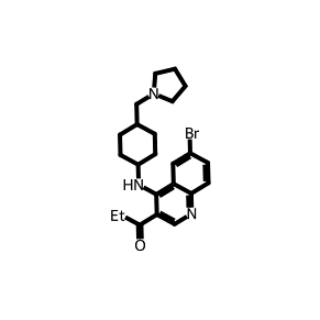 CCC(=O)c1cnc2ccc(Br)cc2c1NC1CCC(CN2CCCC2)CC1